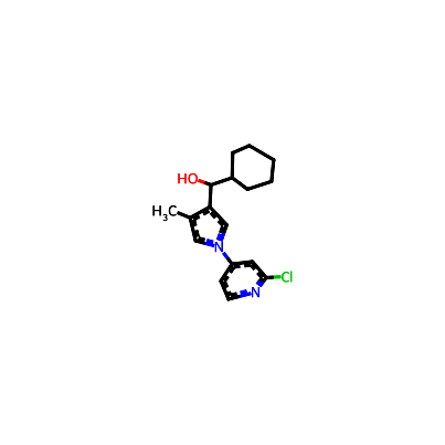 Cc1cn(-c2ccnc(Cl)c2)cc1C(O)C1CCCCC1